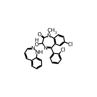 C1=Cc2ccccc2NN=C1.CN1C(=O)C(O)N=C(c2ccccc2Cl)c2cc(Cl)ccc21